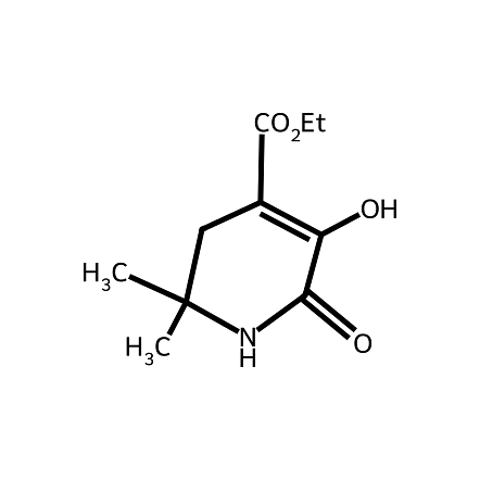 CCOC(=O)C1=C(O)C(=O)NC(C)(C)C1